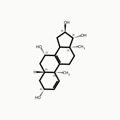 C[C@]12CCC3=C(C1C[C@@H](O)[C@@H]2O)[C@@H](O)C[C@H]1C[C@@H](O)C=C[C@]31C